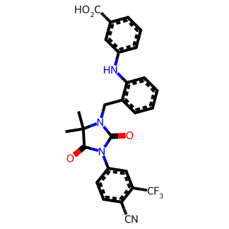 CC1(C)C(=O)N(c2ccc(C#N)c(C(F)(F)F)c2)C(=O)N1Cc1ccccc1Nc1cccc(C(=O)O)c1